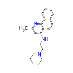 Cc1cc(NCCN2CCCCC2)c2ccc3ccccc3c2n1